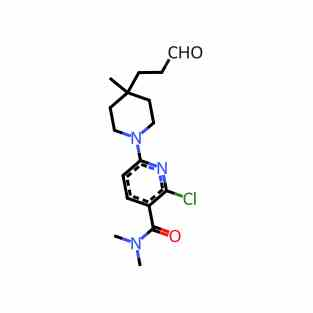 CN(C)C(=O)c1ccc(N2CCC(C)(CCC=O)CC2)nc1Cl